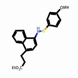 CCOC(=O)CCc1ccc(NSc2ccc(OC)cc2)c2ccccc12